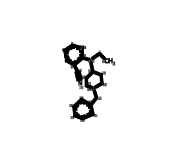 CCN(c1ncccc1C#N)C1CCN(Cc2ccccc2)CC1